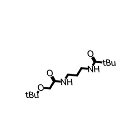 CC(C)(C)OCC(=O)NCCCNC(=O)C(C)(C)C